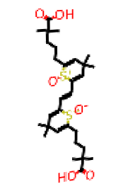 CC1(C)C=C(C=CC2=CC(C)(C)C=C(CCCC(C)(C)C(=O)O)[S+]2[O-])[S+]([O-])C(CCCC(C)(C)C(=O)O)=C1